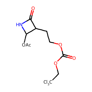 CC(=O)OC1NC(=O)C1CCOC(=O)OCC(Cl)(Cl)Cl